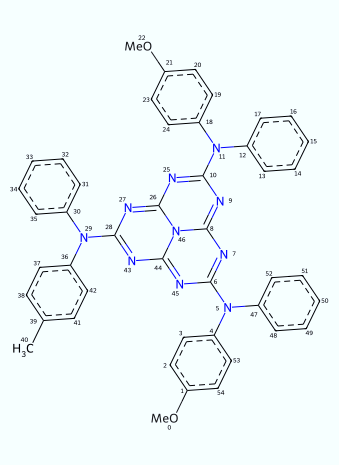 COc1ccc(N(C2=NC3=NC(N(c4ccccc4)c4ccc(OC)cc4)=NC4=NC(N(c5ccccc5)c5ccc(C)cc5)=NC(=N2)N43)c2ccccc2)cc1